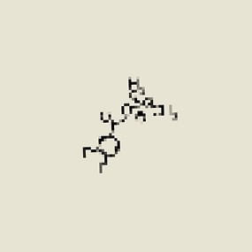 COP(C)(=O)OCC(=O)c1ccc(F)c(F)c1